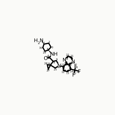 N[C@H]1CC[C@@H](NC(=O)C2CN(c3ccc(C(F)(F)F)c4nccnc34)CC23CC3)CC1